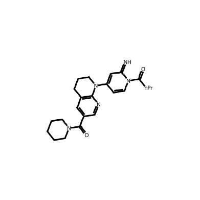 CCCC(=O)n1ccc(N2CCCc3cc(C(=O)N4CCCCC4)cnc32)cc1=N